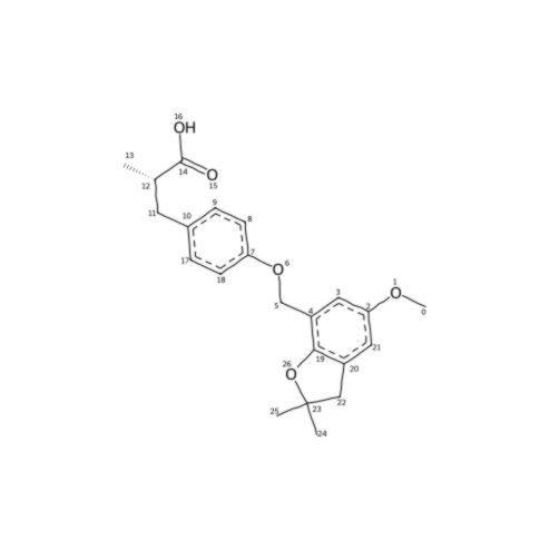 COc1cc(COc2ccc(C[C@H](C)C(=O)O)cc2)c2c(c1)CC(C)(C)O2